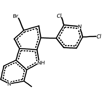 Cc1nccc2c1[nH]c1c(-c3ccc(Cl)nc3Cl)cc(Br)cc12